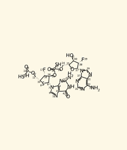 Nc1nc2c(ncn2[C@@H]2S[C@H](CO[PH](=O)S)[C@H](F)[C@H]2OP(=O)(S)OC[C@H]2O[C@@H](n3cnc4c(N)ncnc43)[C@@H](F)[C@@H]2O)c(=O)[nH]1